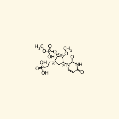 CO[C@@H]1[C@H](OP(=O)(O)OC)[C@@H](CCP(=O)(O)O)C[C@@H]1n1ccc(=O)[nH]c1=O